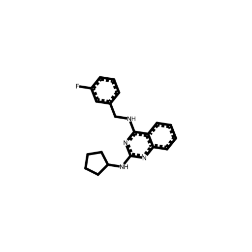 Fc1cccc(CNc2nc(NC3CCCC3)nc3ccccc23)c1